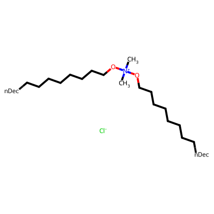 CCCCCCCCCCCCCCCCCCO[N+](C)(C)OCCCCCCCCCCCCCCCCCC.[Cl-]